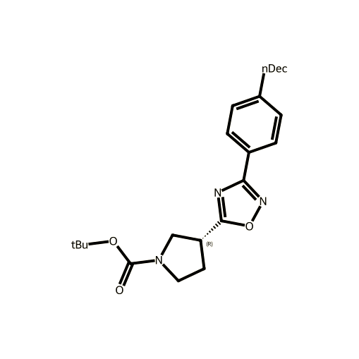 CCCCCCCCCCc1ccc(-c2noc([C@@H]3CCN(C(=O)OC(C)(C)C)C3)n2)cc1